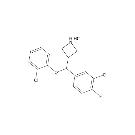 Cl.Fc1ccc(C(Oc2ccccc2Cl)C2CNC2)cc1Cl